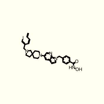 C=C/C=C\C(=C/I)CN1CCC2(CCN(c3cnc4c(ccn4Cc4ccc(C(=O)NO)cc4)c3)CC2)C1